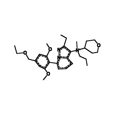 CCC[N+](C)(c1c(CC)nn2c(-c3c(OC)cc(COCC)cc3OC)cccc12)C1CCOCC1